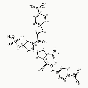 CS(=O)(=O)O[C@@H]1C[C@@H](C2CC(C(N)=O)N(C(=O)OCc3ccc([N+](=O)[O-])cc3)C2)N(C(=O)OCc2ccc([N+](=O)[O-])cc2)C1